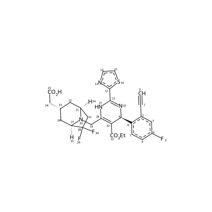 C#Cc1cc(F)ccc1[C@@H]1N=C(c2nccs2)NC(CN2[C@H]3C[C@@H](CC(=O)O)C[C@@H]2C(F)(F)C3)=C1C(=O)OCC